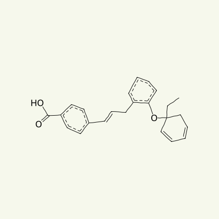 CCC1(Oc2ccccc2CC=Cc2ccc(C(=O)O)cc2)C=CC=CC1